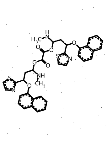 CNC(CC(Oc1cccc2ccccc12)c1nccs1)OC(=O)C(=O)OC(CC(Oc1cccc2ccccc12)c1nccs1)NC